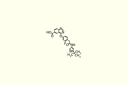 CC(C)(C)n1cc(NC(=O)Cc2ccc(Oc3ncnc4ccc(C(=O)O)cc34)cc2F)cn1